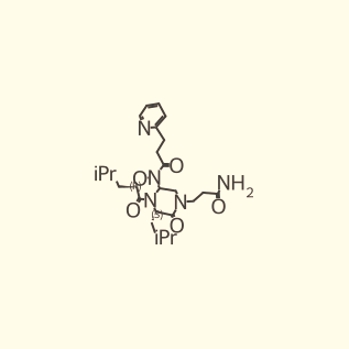 CC(C)C[C@H]1ON(C(=O)CCc2ccccn2)C2CN(CCC(N)=O)C(=O)[C@H](CC(C)C)N2C1=O